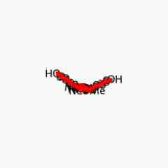 COc1cc(S(=O)(=O)CCN(C)CCOC(=O)CCCCCOC(=O)CCCCCOC(=O)CCCCCOC(=O)CCCCCO)c(OC)cc1/N=N/c1c(Nc2ccccc2)nc(NCCOCCOC(=O)CCCCCOC(=O)CCCCCOC(=O)CCCCCOC(=O)CCCCCO)c(C#N)c1C